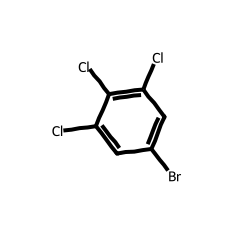 Clc1cc(Br)cc(Cl)c1Cl